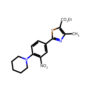 CCOC(=O)c1sc(-c2ccc(N3CCCCC3)c([N+](=O)[O-])c2)nc1C